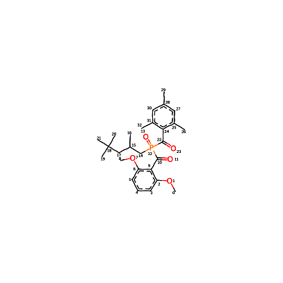 COc1cccc(OC)c1C(=O)P(=O)(CC(C)CC(C)(C)C)C(=O)c1c(C)cc(C)cc1C